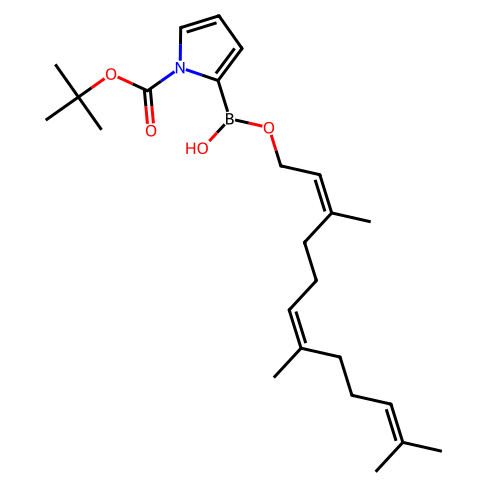 CC(C)=CCCC(C)=CCCC(C)=CCOB(O)c1cccn1C(=O)OC(C)(C)C